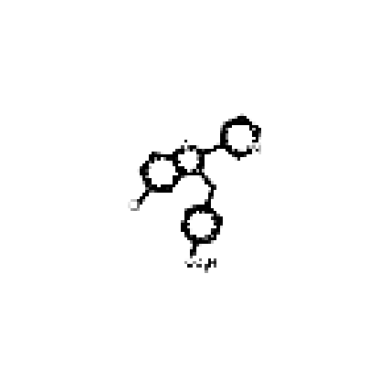 O=C(O)c1ccc(Cc2c(-c3cccnc3)[nH]c3ccc(Cl)cc23)cc1